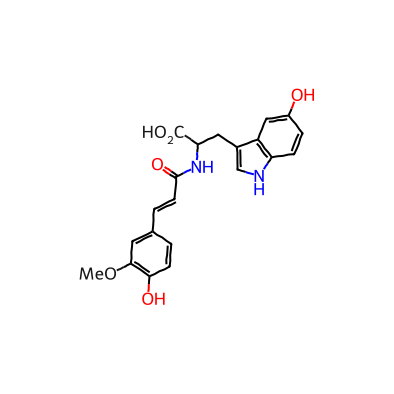 COc1cc(C=CC(=O)NC(Cc2c[nH]c3ccc(O)cc23)C(=O)O)ccc1O